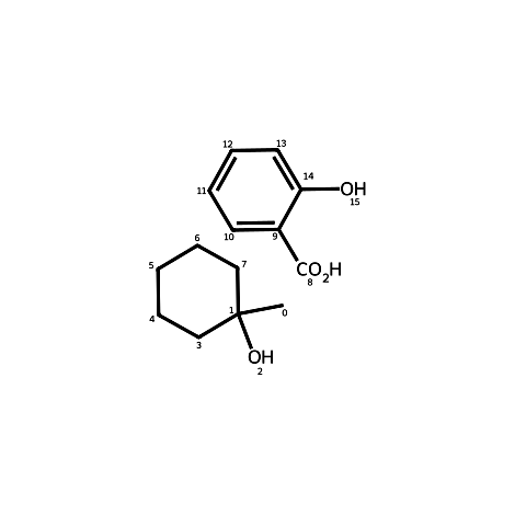 CC1(O)CCCCC1.O=C(O)c1ccccc1O